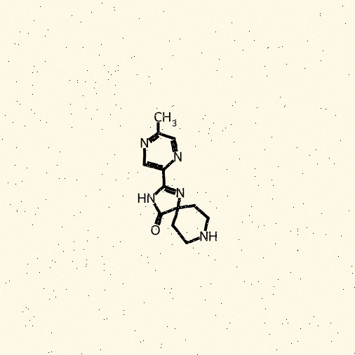 Cc1cnc(C2=NC3(CCNCC3)C(=O)N2)cn1